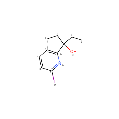 CCC1(O)CCc2ccc(I)nc21